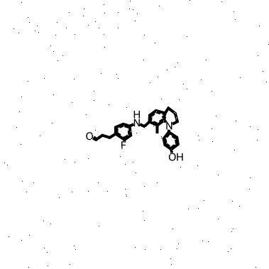 Cc1c(CNc2ccc(CCC=O)c(F)c2)ccc2c1N(c1ccc(O)cc1)CCC2